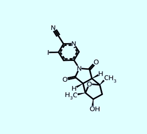 C[C@@]12O[C@@](C)(C[C@H]1O)[C@H]1C(=O)N(c3cnc(C#N)c(I)c3)C(=O)[C@H]12